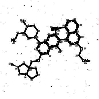 [2H]N1CCN(c2nc(OC[C@@]34CCCN3C[C@H](F)C4)nc3c(F)c(-c4cc(OCOC)cc5cccc(C#C)c45)c(F)cc23)CC1CC#N